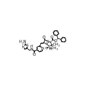 CC1(C)[C@H](C(=O)OC(c2ccccc2)c2ccccc2)N2C(=O)/C(=C/c3cc(C(=O)NCc4cnc(N)s4)ccn3)C2S1(=O)=O